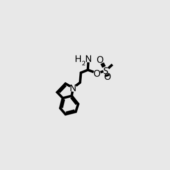 CS(=O)(=O)OC(N)CCn1ccc2ccccc21